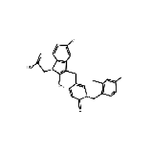 Cc1c(Cc2ccc(=O)n(Cc3ccc(F)cc3F)c2)c2cc(Cl)ccc2n1CC(=O)O